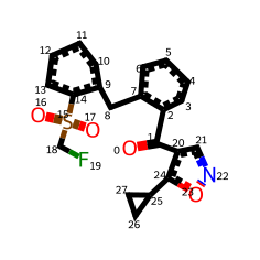 O=C(c1ccccc1Cc1ccccc1S(=O)(=O)CF)c1cnoc1C1CC1